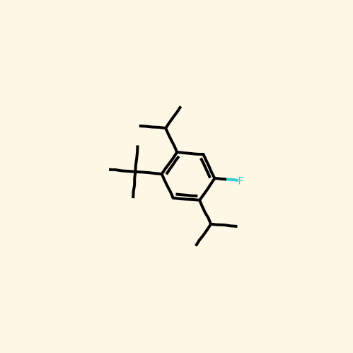 CC(C)c1cc(C(C)(C)C)c(C(C)C)cc1F